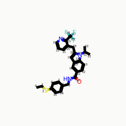 CCSc1ccc(CNC(=O)c2ccc3c(c2)cc(Cc2cccnc2C(F)(F)F)n3C(C)C)cc1